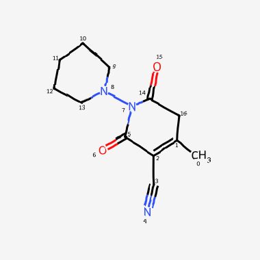 CC1=C(C#N)C(=O)N(N2CCCCC2)C(=O)C1